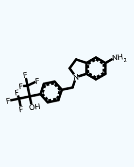 Nc1ccc2c(c1)CCN2Cc1ccc(C(O)(C(F)(F)F)C(F)(F)F)cc1